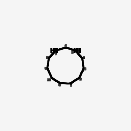 C1CCCCNCNCCC1